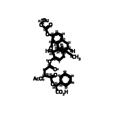 CC(=O)O[C@@H](CC(=O)OC1=CC[C@@]2(O)[C@H]3Cc4ccc(OC(=O)OC(C)(C)C)c5c4[C@@]2(CCN3C)[C@H]1O5)C(=O)O[C@H](C(=O)O)c1ccccc1